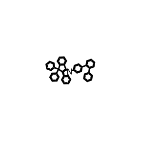 c1ccc(-c2ccccc2-c2ccc(-n3c4c(c5ccccc53)C(c3ccccc3)(c3ccccc3)c3ccccc3-4)cc2)cc1